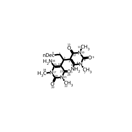 CCCCCCCCCCCC(c1c(N)n(C)c(=O)n(C)c1=O)c1c(N)n(C)c(=O)n(C)c1=O